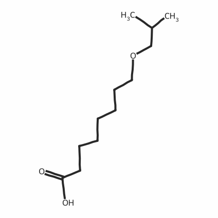 CC(C)COCCCCCCCC(=O)O